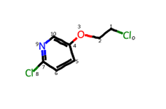 ClCCOc1ccc(Cl)nc1